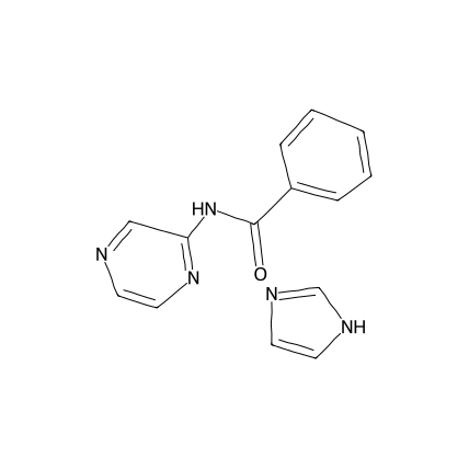 O=C(Nc1cnccn1)c1ccccc1.c1c[nH]cn1